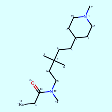 CN1CCC(CCC(C)(C)CCN(C)C(=O)CC(C)(C)C)CC1